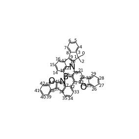 CC1(C)c2ccccc2-c2c1n1c3c(cccc23)B2c3c-1cc1c(oc4ccccc41)c3-c1cccc3c4c5ccccc5oc4n2c13